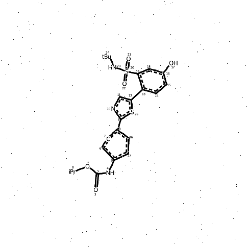 CC(C)OC(=O)Nc1ccc(-c2ncc(-c3ccc(O)cc3S(=O)(=O)NC(C)(C)C)s2)cc1